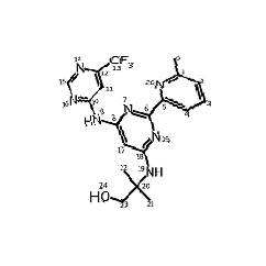 Cc1cccc(-c2nc(Nc3cc(C(F)(F)F)ncn3)cc(NC(C)(C)CO)n2)n1